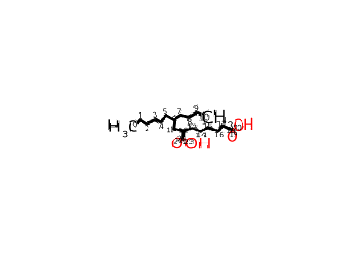 CCCCCCC(CCCC)CC(CCCCCC(=O)O)C(=O)O